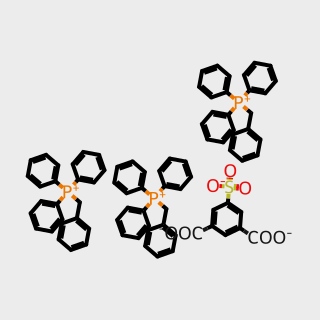 O=C([O-])c1cc(C(=O)[O-])cc(S(=O)(=O)[O-])c1.c1ccc(C[P+](c2ccccc2)(c2ccccc2)c2ccccc2)cc1.c1ccc(C[P+](c2ccccc2)(c2ccccc2)c2ccccc2)cc1.c1ccc(C[P+](c2ccccc2)(c2ccccc2)c2ccccc2)cc1